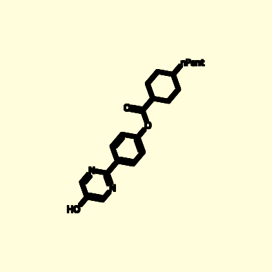 CCCCCC1CCC(C(=O)Oc2ccc(-c3ncc(O)cn3)cc2)CC1